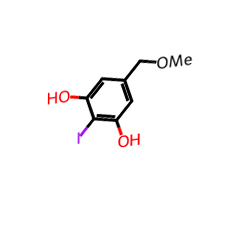 COCc1cc(O)c(I)c(O)c1